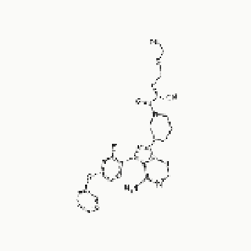 CC(C)(C)CSC/C=C(\C#N)C(=O)N1CCCC(n2nc(-c3ccc(Oc4ccccc4)cc3F)c3c(N)ncnc32)C1